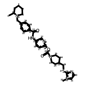 CC1CCCCN1Cc1ccc(C(=O)Nc2ccc(OC(=O)N3CCC(CSc4nccn4C)CC3)nc2)cc1